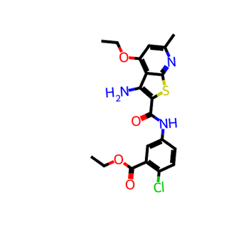 CCOC(=O)c1cc(NC(=O)c2sc3nc(C)cc(OCC)c3c2N)ccc1Cl